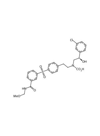 COCNC(=O)c1cccc(S(=O)(=O)c2ccc(CCN(C[C@H](O)c3cccc(Cl)c3)C(=O)O)cc2)c1